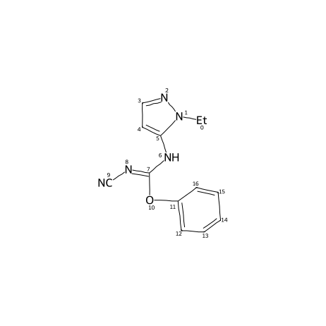 CCn1nccc1N/C(=N/C#N)Oc1ccccc1